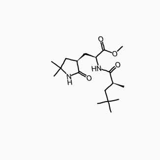 COC(=O)[C@H](C[C@@H]1CC(C)(C)NC1=O)NC(=O)[C@@H](C)CC(C)(C)C